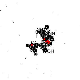 C[C@H](NC(=O)[C@H](Cc1ccccc1)NC(=O)[C@H](CCC(N)=O)NC(=O)CNC(=O)[C@@H]1CCCN1C(=O)[C@H](Cc1ccccc1)NC(=O)[C@H](Cc1ccc(O)cc1)NC(=O)c1ccc(C(=O)[O-])c(-c2c3ccc(=[N+](C)C)cc-3oc3cc(N(C)C)ccc23)c1)C(=O)N[C@@H](Cc1ccccc1)C(=O)N[C@@H](CO)C(=O)O